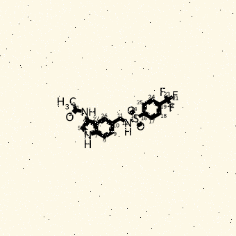 CC(=O)Nc1c[nH]c2ccc(CNS(=O)(=O)c3ccc(C(F)(F)F)cc3)cc12